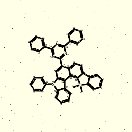 C[Si]1(C)c2ccccc2-c2ccc3c(-c4nc(-c5ccccc5)nc(-c5ccccc5)n4)cc4c(c5ccccc5n4-c4ccccc4)c3c21